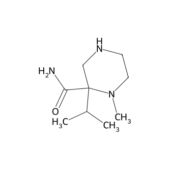 CC(C)C1(C(N)=O)CNCCN1C